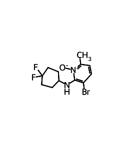 Cc1ccc(Br)c(NC2CCC(F)(F)CC2)[n+]1[O-]